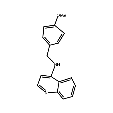 COc1ccc(CNc2ccnc3ccccc23)cc1